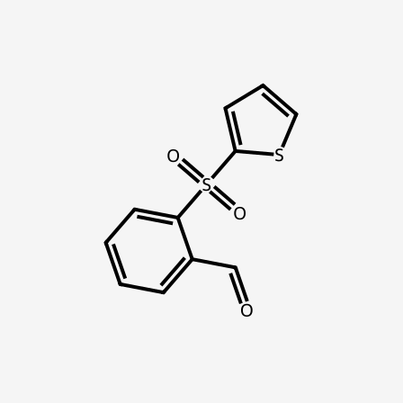 O=Cc1ccccc1S(=O)(=O)c1cccs1